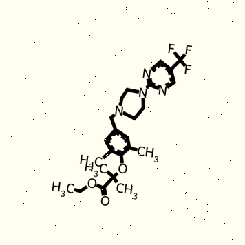 CCOC(=O)C(C)(C)Oc1c(C)cc(CN2CCN(c3ncc(C(F)(F)F)cn3)CC2)cc1C